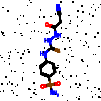 N#CCC(=O)NNC(=S)Nc1ccc(S(N)(=O)=O)cc1